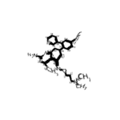 Cc1nc(N)nc2c1/C(=N/OCCCN(C)C)CC(c1ccc(F)cc1-c1cccnc1)C2